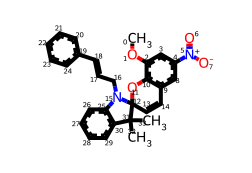 COc1cc([N+](=O)[O-])cc2c1OC1(C=C2)N(C/C=C/c2ccccc2)c2ccccc2C1(C)C